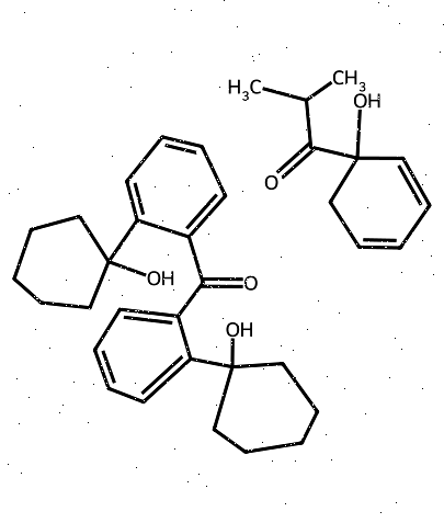 CC(C)C(=O)C1(O)C=CC=CC1.O=C(c1ccccc1C1(O)CCCCC1)c1ccccc1C1(O)CCCCC1